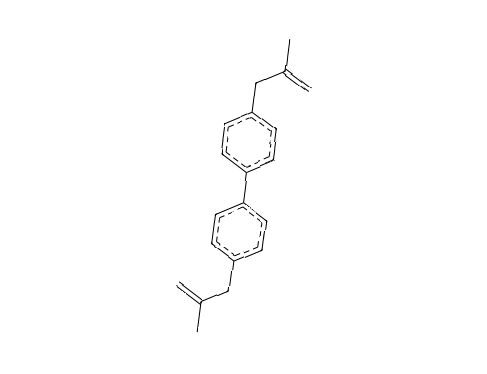 C=C(C)Cc1ccc(-c2ccc(CC(=C)C)cc2)cc1